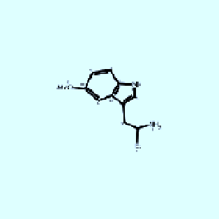 CCC(N)Cc1c[nH]c2ccc(OC)cc12